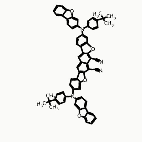 CC(C)(C)c1ccc(N(c2ccc3c(c2)oc2ccccc23)c2ccc3c(c2)oc2c(C#N)c4c(C#N)c5oc6cc(N(c7ccc(C(C)(C)C)cc7)c7ccc8c(c7)oc7ccccc78)ccc6c5cc4cc23)cc1